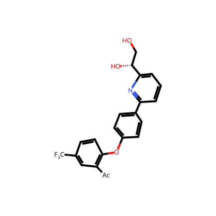 CC(=O)c1cc(C(F)(F)F)ccc1Oc1ccc(-c2cccc([C@H](O)CO)n2)cc1